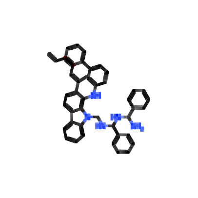 C=C/C=C\C=C(/C)c1ccc2c3ccccc3n(CNC(NC(N)c3ccccc3)c3ccccc3)c2c1Nc1cccc(-c2ccccc2)c1